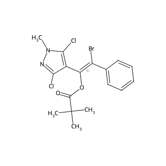 Cn1nc(Cl)c(/C(OC(=O)C(C)(C)C)=C(\Br)c2ccccc2)c1Cl